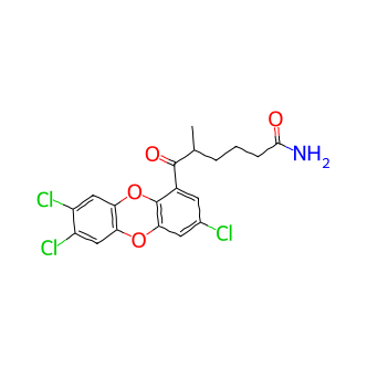 CC(CCCC(N)=O)C(=O)c1cc(Cl)cc2c1Oc1cc(Cl)c(Cl)cc1O2